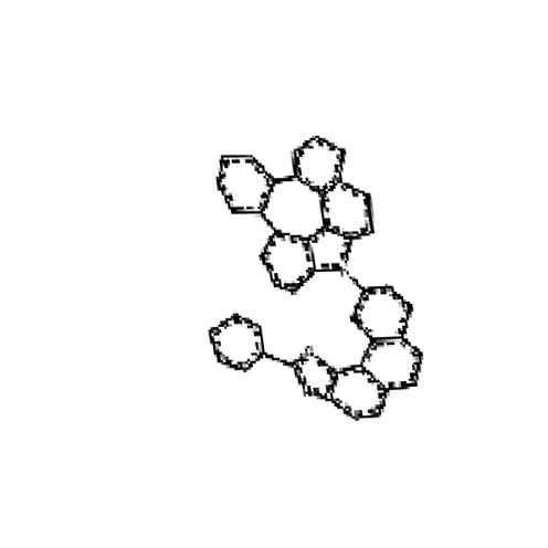 c1ccc(-c2nc3ccc4ccc5ccc(-n6c7cccc8c7c7c9c(cccc9ccc76)-c6ccccc6-8)cc5c4c3o2)cc1